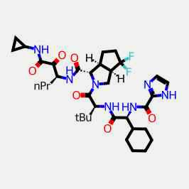 CCC[C@H](NC(=O)[C@@H]1[C@H]2CCC(F)(F)[C@H]2CN1C(=O)[C@@H](NC(=O)[C@@H](NC(=O)c1ncc[nH]1)C1CCCCC1)C(C)(C)C)C(=O)C(=O)NC1CC1